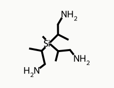 CC(CN)[Si](C)(C(C)CN)C(C)CN